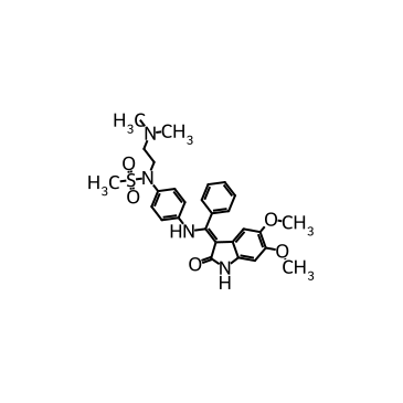 COc1cc2c(cc1OC)/C(=C(/Nc1ccc(N(CCN(C)C)S(C)(=O)=O)cc1)c1ccccc1)C(=O)N2